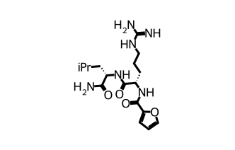 CC(C)C[C@H](NC(=O)[C@H](CCCNC(=N)N)NC(=O)c1ccco1)C(N)=O